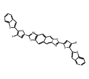 Fc1cc(-c2nc3cc4cc5oc(-c6cc(F)c(-c7cc8ccccc8s7)s6)nc5cc4cc3o2)sc1-c1cc2ccccc2s1